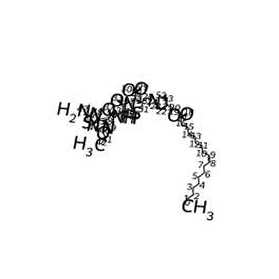 CCCCCCCC/C=C\CCCCCCCC(=O)OCc1cc[n+](CC2=C(C(=O)[O-])N3C(=O)C(NC(=O)C(=NOCC)c4nsc(N)n4)[C@@H]3SC2)cc1